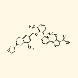 COc1c(C(=O)O)cnn1-c1cccc(-c2cccc(C)c2OCc2cc(C)c3c(c2)CCN(C2CCOC2)C3)n1